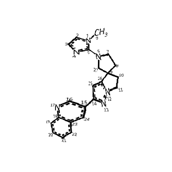 Cn1ccnc1N1CCC2(CCn3nc(-c4cnc5ccccc5c4)cc32)C1